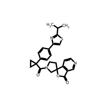 CC(C)c1nc(-c2ccc(C3(C(=O)N4CCC5(C4)OC(=O)c4cnccc45)CC3)cc2)cs1